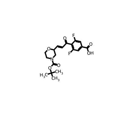 CC(C)(C)OC(=O)N1CCOC(/C=C/C(=O)c2c(F)cc(C(=O)O)cc2F)C1